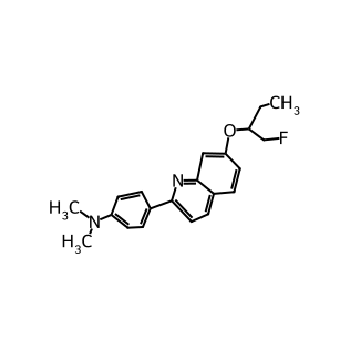 CCC(CF)Oc1ccc2ccc(-c3ccc(N(C)C)cc3)nc2c1